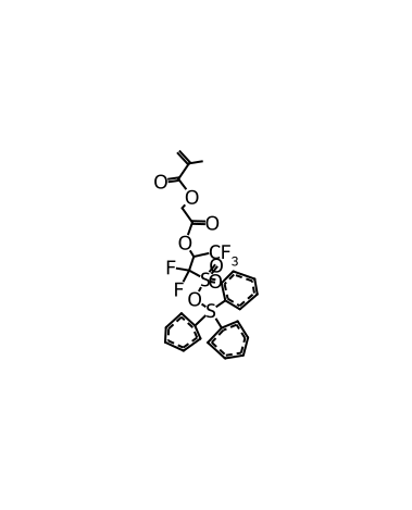 C=C(C)C(=O)OCC(=O)OC(C(F)(F)F)C(F)(F)S(=O)(=O)OS(c1ccccc1)(c1ccccc1)c1ccccc1